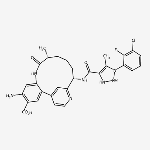 CC1=C(C(=O)N[C@H]2CCC[C@@H](C)C(=O)Nc3cc(N)c(C(=O)O)cc3-c3ccnc2c3)NNN1c1cccc(Cl)c1F